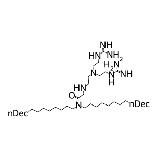 CCCCCCCCCCCCCCCCCCN(CCCCCCCCCCCCCCCCCC)C(=O)CNCCN(CCNC(=N)N)CCNC(=N)N